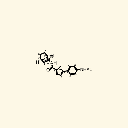 CC(=O)Nc1ccc(-c2ccc(C(=O)N[C@@H]3C[C@H]4CC[C@@H]3N4)s2)cc1